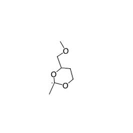 COCC1CCO[C](C)O1